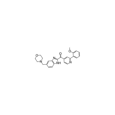 COc1ccccc1-c1cc(C(=O)c2nc3cc(CN4CCOCC4)ccc3[nH]2)ccn1